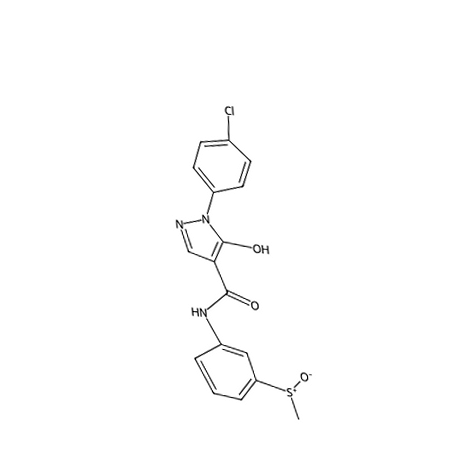 C[S+]([O-])c1cccc(NC(=O)c2cnn(-c3ccc(Cl)cc3)c2O)c1